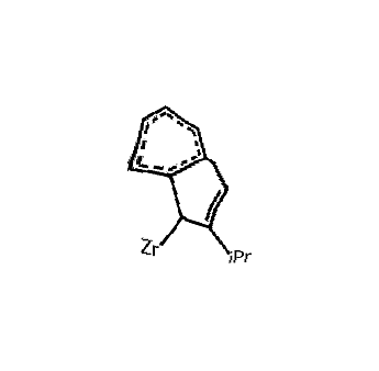 CC(C)C1=Cc2ccccc2[CH]1[Zr]